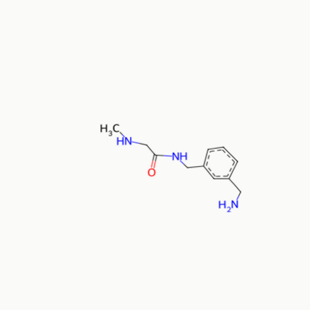 CNCC(=O)NCc1cccc(CN)c1